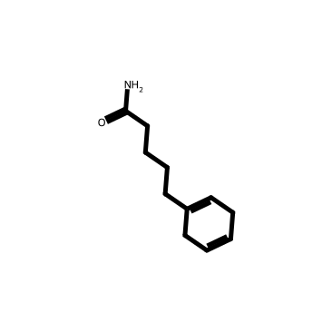 NC(=O)CCCCC1=CCC=CC1